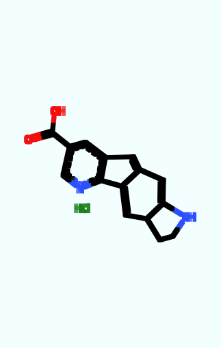 Cl.O=C(O)c1cnc2c(c1)C=C1C=C3NCCC3C=C12